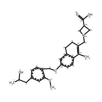 COc1cc(CC(C)O)ccc1COc1ccc2c(c1)CCC(CN1CC(C(=O)O)C1)=C2C